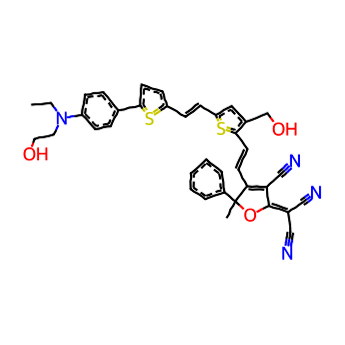 CCN(CCO)c1ccc(-c2ccc(/C=C/c3cc(CO)c(/C=C/C4=C(C#N)C(=C(C#N)C#N)OC4(C)c4ccccc4)s3)s2)cc1